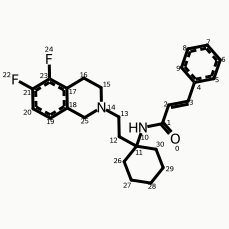 O=C(C=Cc1ccccc1)NC1(CCN2CCc3c(ccc(F)c3F)C2)CCCCC1